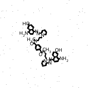 CN(CCC[n+]1ccccc1N=Nc1ccc(N)c2cc(O)ccc12)C(=O)c1ccc(C(=O)N(C)CCC[n+]2ccccc2/N=N/c2ccc(N)c3cc(O)ccc23)cc1